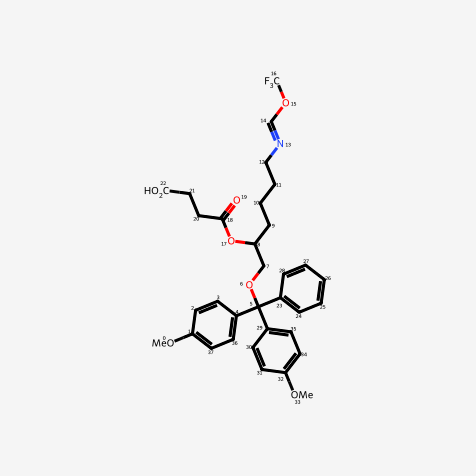 COc1ccc(C(OCC(CCCCN=COC(F)(F)F)OC(=O)CCC(=O)O)(c2ccccc2)c2ccc(OC)cc2)cc1